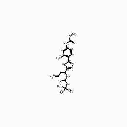 C=CCC(NC(=O)OC(C)(C)C)c1nnc(-c2ccc(NC(=O)OC)cc2N)o1